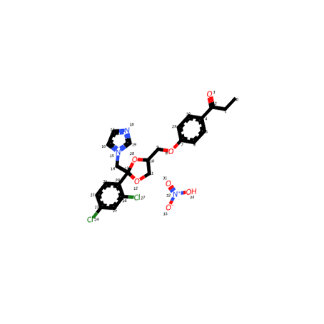 CCC(=O)c1ccc(OCC2COC(Cn3ccnc3)(c3ccc(Cl)cc3Cl)O2)cc1.O=[N+]([O-])O